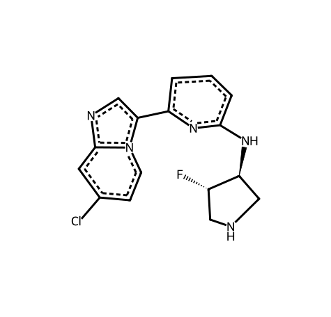 F[C@H]1CNC[C@@H]1Nc1cccc(-c2cnc3cc(Cl)ccn23)n1